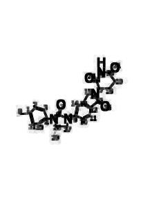 Cc1ccc(N2C(=O)N(c3ccc4c(c3)CN(C3CCC(=O)NC3=O)C4=O)C[C@@H]2C)cc1